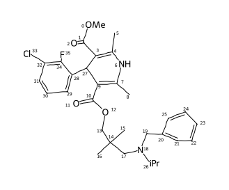 COC(=O)C1=C(C)NC(C)=C(C(=O)OCC(C)(C)CN(Cc2ccccc2)C(C)C)C1c1cccc(Cl)c1F